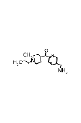 CC(C)CN1CCC(C(=O)c2ccc(CN)cn2)CC1